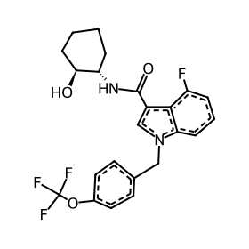 O=C(N[C@H]1CCCC[C@@H]1O)c1cn(Cc2ccc(OC(F)(F)F)cc2)c2cccc(F)c12